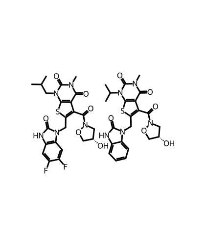 CC(C)Cn1c(=O)n(C)c(=O)c2c(C(=O)N3C[C@H](O)CO3)c(Cn3c(=O)[nH]c4cc(F)c(F)cc43)sc21.CC(C)n1c(=O)n(C)c(=O)c2c(C(=O)N3C[C@H](O)CO3)c(Cn3c(=O)[nH]c4ccccc43)sc21